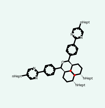 CCCCCCCc1cnc(-c2ccc(C(OC(c3ccc(-c4ncc(CCCCCCC)cn4)cc3)[C@H]3CC[C@H](CCCCCCC)CC3)[C@H]3CC[C@H](CCCCCCC)CC3)cc2)nc1